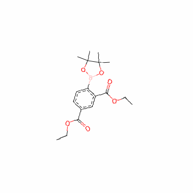 CCOC(=O)c1ccc(B2OC(C)(C)C(C)(C)O2)c(C(=O)OCC)c1